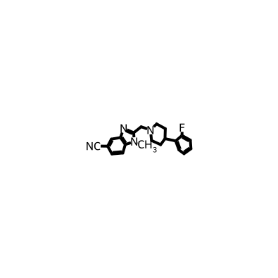 Cn1c(CN2CCC(c3ccccc3F)CC2)nc2cc(C#N)ccc21